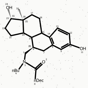 CCCCCCCCCCC(=O)N(CCCC)C[C@@H]1Cc2cc(O)ccc2C2CC[C@@]3(C)C(CC[C@@H]3O)C21